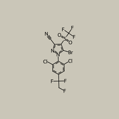 N#Cc1nn(-c2c(Cl)cc(C(F)(F)CF)cc2Cl)c(Br)c1S(=O)(=O)C(F)(F)F